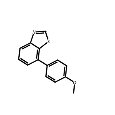 COc1ccc(-c2cccc3n[c]sc23)cc1